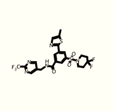 Cc1cnc(-c2cc(C(=O)NCc3cnc(C(F)(F)F)nc3)cc(S(=O)(=O)N3CCC(F)(F)CC3)c2)s1